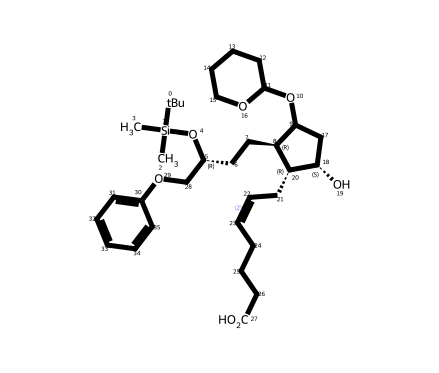 CC(C)(C)[Si](C)(C)O[C@H](CC[C@H]1C(OC2CCCCO2)C[C@H](O)[C@@H]1C/C=C\CCCC(=O)O)COc1ccccc1